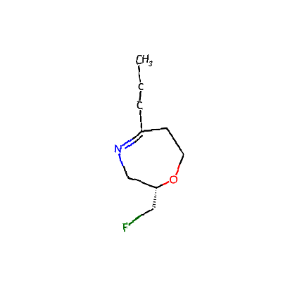 CCCC1=NC[C@@H](CF)OCC1